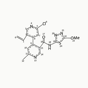 C=Cc1cnc(Cl)cc1-c1cc(C)ncc1C(=O)Nc1nnc(OC)s1